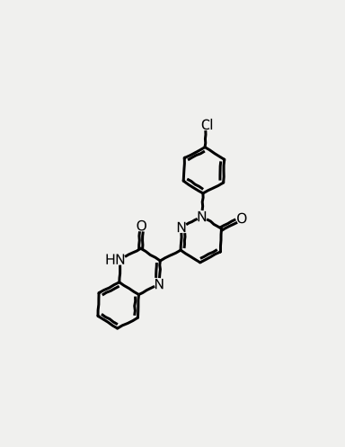 O=c1[nH]c2ccccc2nc1-c1ccc(=O)n(-c2ccc(Cl)cc2)n1